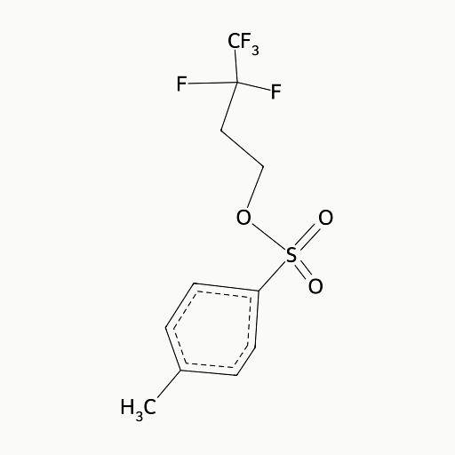 Cc1ccc(S(=O)(=O)OCCC(F)(F)C(F)(F)F)cc1